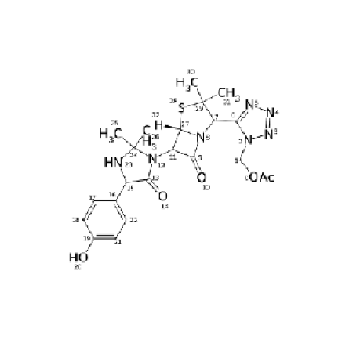 CC(=O)OCn1nnnc1C1N2C(=O)C(N3C(=O)C(c4ccc(O)cc4)NC3(C)C)[C@@H]2SC1(C)C